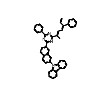 C=C/C(=C\C=C(/C)c1nc(-c2ccccc2)nc(-c2ccc3ccc(-n4c5ccccc5c5ccccc54)cc3c2)n1)c1ccccc1